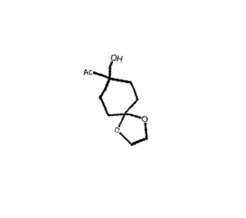 CC(=O)C1(O)CCC2(CC1)OCCO2